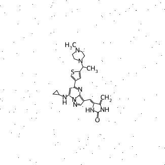 C=c1[nH]c(=O)[nH]/c1=C\c1cnn2c(NC3CC3)cc(-c3csc(C(C)N4CCN(C)CC4)c3)nc12